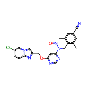 Cc1cc(C#N)cc(C)c1CN(N=O)c1cc(OCc2cn3cc(Cl)ccc3n2)ncn1